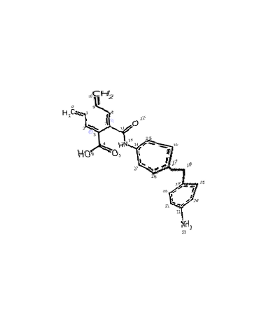 C=C/C=C(C(=O)O)\C(=C/C=C)C(=O)Nc1ccc(Cc2ccc(N)cc2)cc1